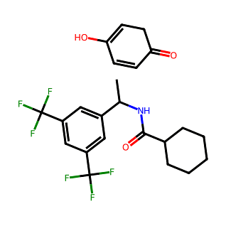 CC(NC(=O)C1CCCCC1)c1cc(C(F)(F)F)cc(C(F)(F)F)c1.O=C1C=CC(O)=CC1